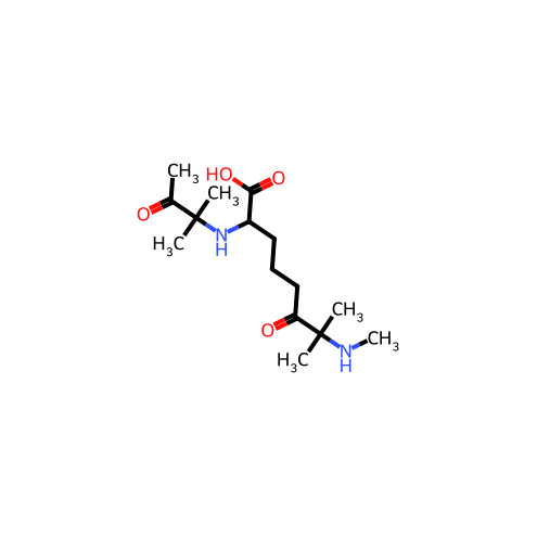 CNC(C)(C)C(=O)CCCC(NC(C)(C)C(C)=O)C(=O)O